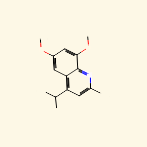 COc1cc(OC)c2nc(C)cc(C(C)C)c2c1